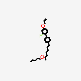 C=CCOc1ccc(-c2ccc(C=CCCCC(C)OCCCCC)cc2)c(F)c1